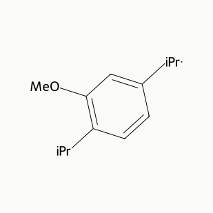 COc1cc([C](C)C)ccc1C(C)C